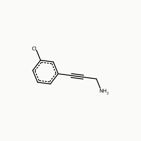 NCC#Cc1cccc(Cl)c1